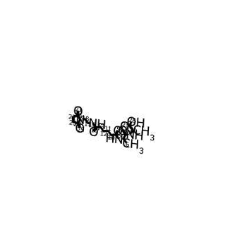 CC(NC(=O)C(C)NC(=O)CCCCC(=O)NCCN1C(=O)C=CC1=O)C(=O)O